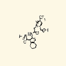 NC(=O)c1c(NC(=O)Cn2nc(C(F)(F)F)cc2CO)sc2c1CCCC2